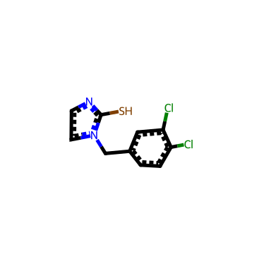 Sc1nccn1Cc1ccc(Cl)c(Cl)c1